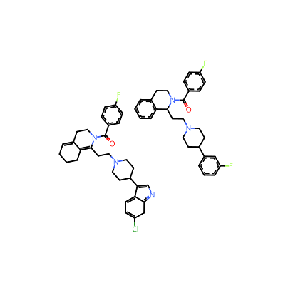 O=C(c1ccc(F)cc1)N1CCC2=CCCCC2=C1CCN1CCC(C2=CN=C3CC(Cl)=CC=C23)CC1.O=C(c1ccc(F)cc1)N1CCc2ccccc2C1CCN1CCC(c2cccc(F)c2)CC1